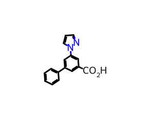 O=C(O)c1cc(-c2ccccc2)cc(-n2cccn2)c1